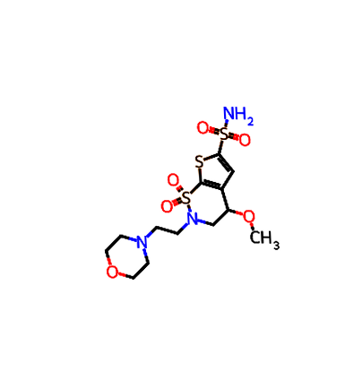 COC1CN(CCN2CCOCC2)S(=O)(=O)c2sc(S(N)(=O)=O)cc21